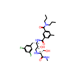 CCCN(CCC)C(=O)c1cc(C)cc(C(=O)N[C@@H](Cc2cc(F)cc(F)c2)[C@H](O)CN[C@H](CO)C(=O)NC)c1